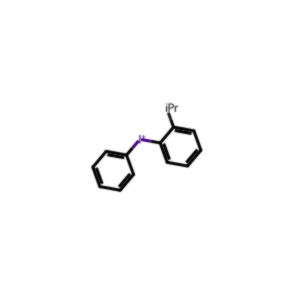 CC(C)c1ccccc1[I+]c1ccccc1